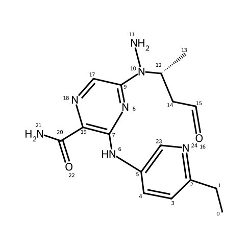 CCc1ccc(Nc2nc(N(N)[C@H](C)CC=O)cnc2C(N)=O)cn1